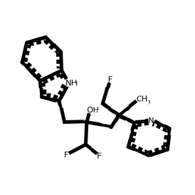 CC(CF)(CC(O)(Cc1cc2ccccc2[nH]1)C(F)F)c1ccccn1